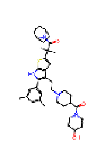 Cc1cc(C)cc(-c2[nH]c3sc(C(C)(C)C(=O)N4C5CCC4CC5)cc3c2CCN2CCC(C(=O)N3CCC(O)CC3)CC2)c1